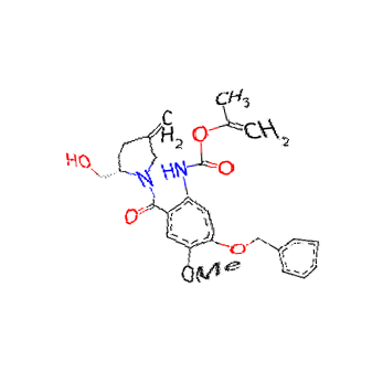 C=C1C[C@@H](CO)N(C(=O)c2cc(OC)c(OCc3ccccc3)cc2NC(=O)OC(=C)C)C1